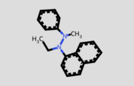 CCN(c1cccc2ccccc12)N(C)c1ccccc1